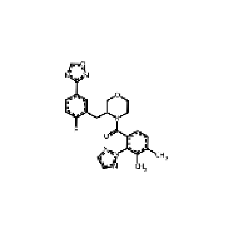 Cc1ccc(C(=O)N2CCOCC2Cc2cc(-c3ncon3)ccc2F)c(-n2nccn2)c1C